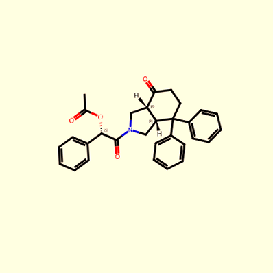 CC(=O)O[C@H](C(=O)N1C[C@@H]2C(=O)CCC(c3ccccc3)(c3ccccc3)[C@@H]2C1)c1ccccc1